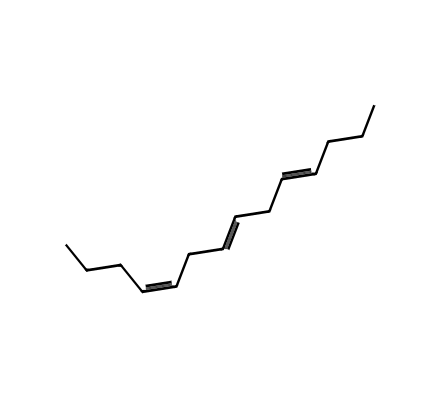 CCCC=CCC=CC/C=C\CCC